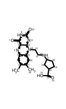 Cc1cc2nc3c(=O)[nH]c(=O)nc-3n(CCNC3CCC(C(=O)O)C3)c2cc1C